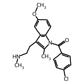 CNCCc1c(C)n(C(=O)c2ccc(Cl)cc2)c2ccc(OC)cc12